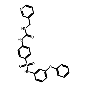 O=C(NCc1cccnc1)Nc1ccc(S(=O)(=O)Nc2cccc(Oc3ccccc3)c2)cc1